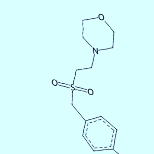 O=S(=O)(CCN1CCOCC1)Cc1ccc(F)cc1